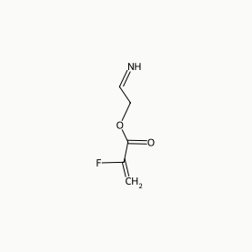 C=C(F)C(=O)OCC=N